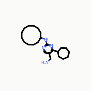 NCc1cnc(NC2CCCCCCCCCCC2)nc1C1CCCCCC1